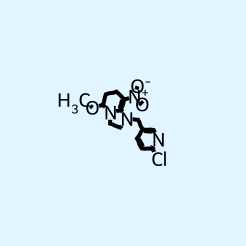 COC1CCC([N+](=O)[O-])=C2N(Cc3ccc(Cl)nc3)CCN21